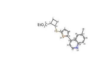 CCOC(=O)C1CCC1Sc1ccc(-c2ccnc3ccc(C)cc23)s1